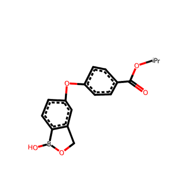 CC(C)OC(=O)c1ccc(Oc2ccc3c(c2)COB3O)cc1